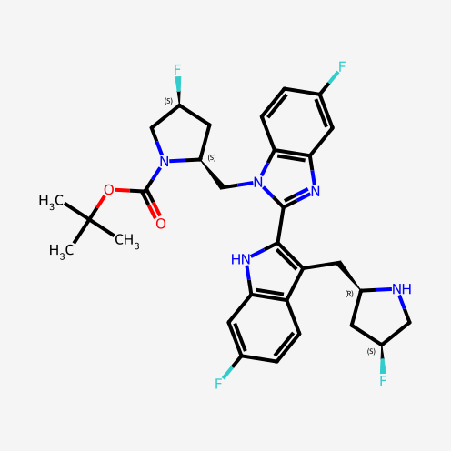 CC(C)(C)OC(=O)N1C[C@@H](F)C[C@H]1Cn1c(-c2[nH]c3cc(F)ccc3c2C[C@@H]2C[C@H](F)CN2)nc2cc(F)ccc21